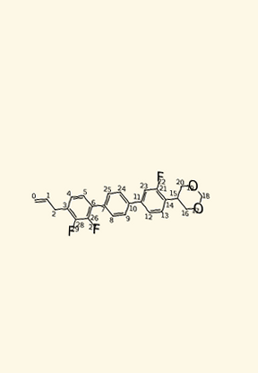 C=CCc1ccc(-c2ccc(-c3ccc(C4COCOC4)c(F)c3)cc2)c(F)c1F